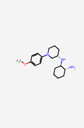 N[C@@H]1CCCC[C@H]1N[C@H]1CCCN(c2ccc(OC(F)(F)F)cc2)C1